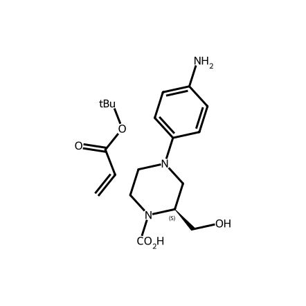 C=CC(=O)OC(C)(C)C.Nc1ccc(N2CCN(C(=O)O)[C@H](CO)C2)cc1